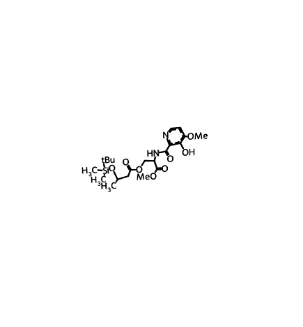 COC(=O)C(COC(=O)CC(C)O[Si](C)(C)C(C)(C)C)NC(=O)c1nccc(OC)c1O